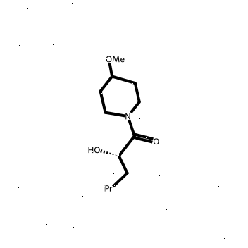 COC1CCN(C(=O)[C@@H](O)CC(C)C)CC1